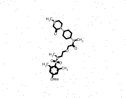 COc1cc(C)c(S(=O)(=O)N(C)CCOCC(=O)N(C)[C@H]2CC[C@@H](N3CCN(C)CC3=O)CC2)c(C)c1